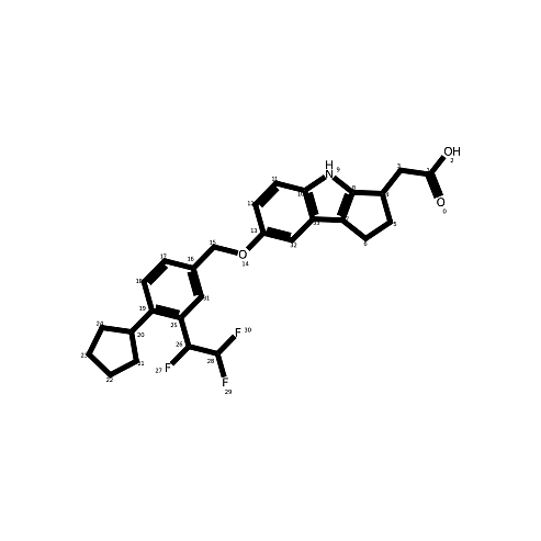 O=C(O)CC1CCc2c1[nH]c1ccc(OCc3ccc(C4CCCC4)c(C(F)C(F)F)c3)cc21